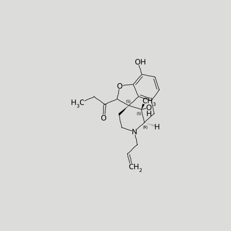 C=CCN1CC[C@]23c4c(ccc(O)c4OC2C(=O)CC)C[C@@H]1[C@@]3(C)O